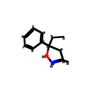 CCC1(c2ccccc2)CC(C)=NO1